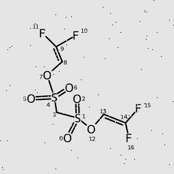 O=S(=O)(CS(=O)(=O)OC=C(F)F)OC=C(F)F